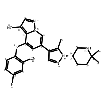 Cc1c(-c2cc(Sc3ccc(F)cc3C#N)c3c(C#N)cnn3c2)cnn1[C@H]1CCC(C)(C)NC1